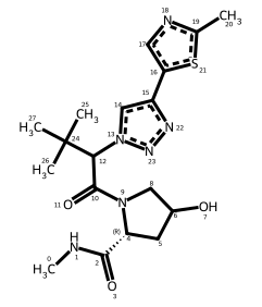 CNC(=O)[C@H]1CC(O)CN1C(=O)C(n1cc(-c2cnc(C)s2)nn1)C(C)(C)C